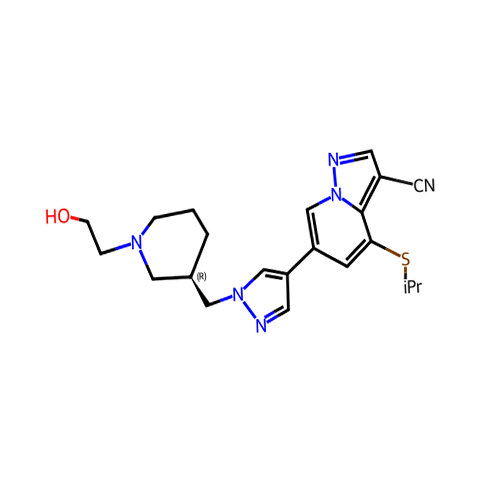 CC(C)Sc1cc(-c2cnn(C[C@@H]3CCCN(CCO)C3)c2)cn2ncc(C#N)c12